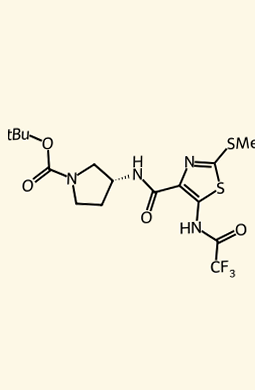 CSc1nc(C(=O)N[C@@H]2CCN(C(=O)OC(C)(C)C)C2)c(NC(=O)C(F)(F)F)s1